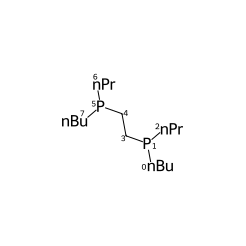 CCCCP(CCC)CCP(CCC)CCCC